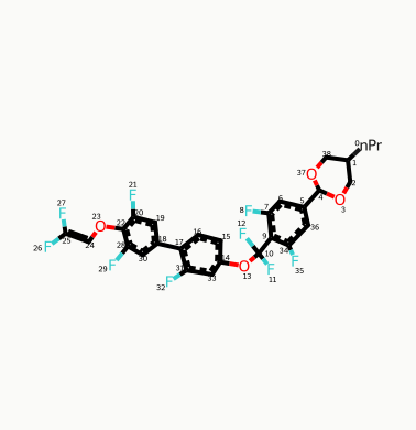 CCCC1COC(c2cc(F)c(C(F)(F)Oc3ccc(-c4cc(F)c(OC=C(F)F)c(F)c4)c(F)c3)c(F)c2)OC1